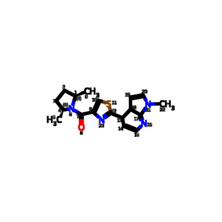 C[C@@H]1CC[C@@H](C)N1C(=O)c1csc(C2C=CN=C3C2C=CN3C)n1